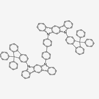 c1ccc(C2(c3ccccc3)c3ccccc3-c3ccc(-n4c5ccccc5c5cc6c7ccccc7n(-c7ccc(-c8ccc(-n9c%10ccccc%10c%10cc%11c%12ccccc%12n(-c%12ccc%13c(c%12)C(c%12ccccc%12)(c%12ccccc%12)c%12ccccc%12-%13)c%11cc%109)cc8)cc7)c6cc54)cc32)cc1